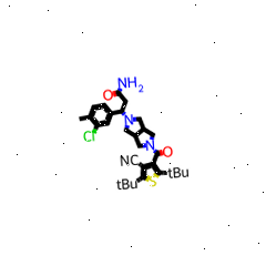 Cc1ccc(C(CC(N)=O)N2CC3CN(C(=O)c4c(C(C)(C)C)sc(C(C)(C)C)c4C#N)CC3C2)cc1Cl